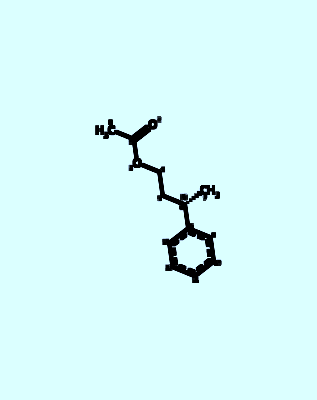 CC(=O)OCC[C@H](C)c1ccccc1